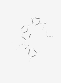 CC(C)(C)C(C(=O)O)N(c1ccc2c(ccn2-c2cc(C(=O)NCCO)ccn2)c1)S(=O)(=O)c1cc(Cl)cc(Cl)c1